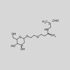 C=C(CCOCCOC1C[C@@H](O)C(O)C(CO)O1)NC[C@H](C)C=O